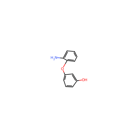 Nc1ccccc1Oc1cccc(O)c1